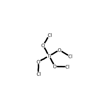 Cl[O][Ti]([O]Cl)([O]Cl)[O]Cl